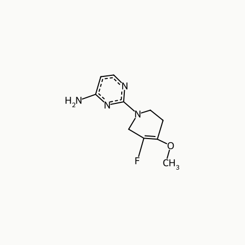 COC1=C(F)CN(c2nccc(N)n2)CC1